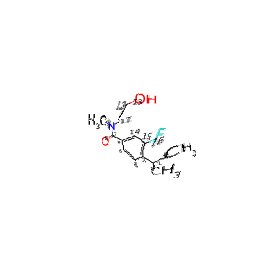 CC(C)c1ccc(C(=O)N(C)CCO)cc1F